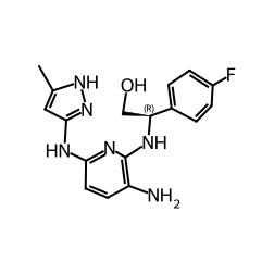 Cc1cc(Nc2ccc(N)c(N[C@@H](CO)c3ccc(F)cc3)n2)n[nH]1